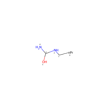 CCCCNC(N)O